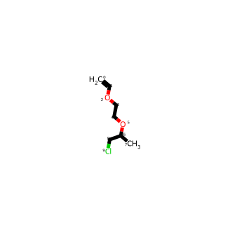 C=COCCOC(C)CCl